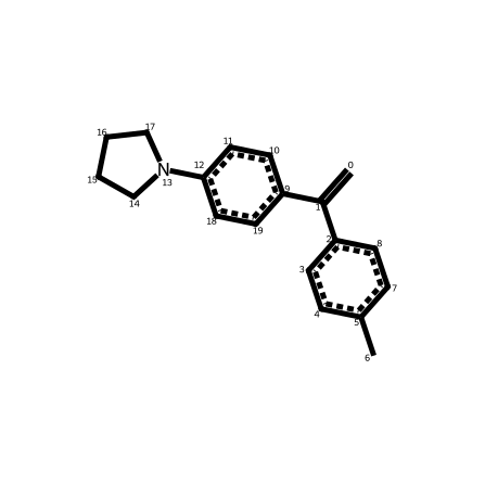 C=C(c1ccc(C)cc1)c1ccc(N2CCCC2)cc1